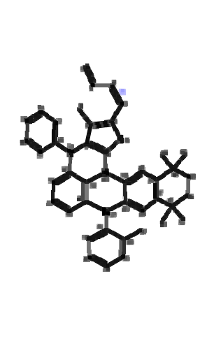 C=C/C=C\c1sc2c(c1C)N(c1ccccc1)c1cccc3c1B2c1cc2c(cc1N3c1ccccc1C)C(C)(C)CCC2(C)C